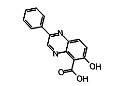 O=C(O)c1c(O)ccc2nc(-c3ccccc3)cnc12